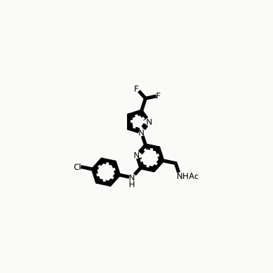 CC(=O)NCc1cc(Nc2ccc(Cl)cc2)nc(-n2ccc(C(F)F)n2)c1